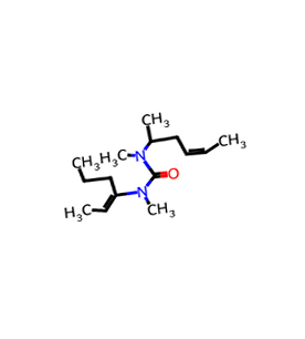 C/C=C\CC(C)N(C)C(=O)N(C)/C(=C/C)CCC